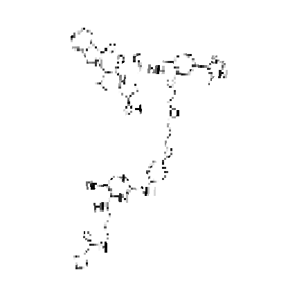 Cc1ncsc1-c1ccc(CNC(=O)[C@@H]2C[C@@H](O)CN2C(=O)[C@H](C(C)C)N2Cc3ccccc3C2=O)c(OCCOCCCOc2ccc(Nc3ncc(Br)c(NCCCN(C)C(=O)C4CCC4)n3)cc2)c1